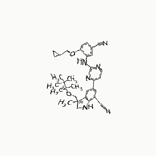 CC(C)(C)[Si](C)(C)OC[C@@]1(C)CNc2c(C#N)cc(-c3ccnc(Nc4cc(C#N)ccc4OCC4CC4)n3)cc21